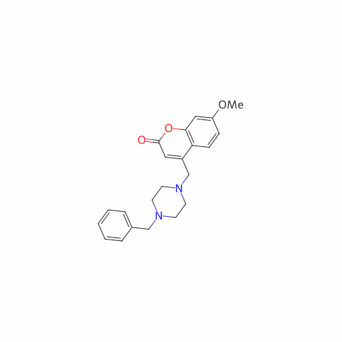 COc1ccc2c(CN3CCN(Cc4ccccc4)CC3)cc(=O)oc2c1